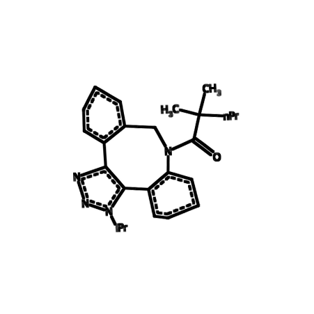 CCCC(C)(C)C(=O)N1Cc2ccccc2-c2nnn(C(C)C)c2-c2ccccc21